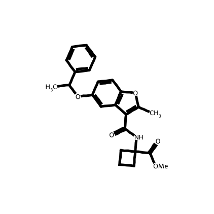 COC(=O)C1(NC(=O)c2c(C)oc3ccc(OC(C)c4ccccc4)cc23)CCC1